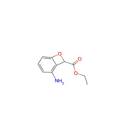 CCOC(=O)C1Oc2cccc(N)c21